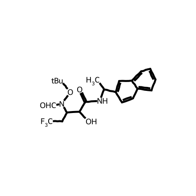 CC(NC(=O)C(O)C(CC(F)(F)F)N(C=O)OC(C)(C)C)c1ccc2ccccc2c1